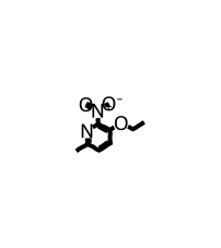 CCOc1ccc(C)nc1[N+](=O)[O-]